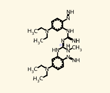 CCN(CC)c1ccc(N=N)c(NC(=N)/N=C(\NC)Nc2cc(N(CC)CC)ccc2N=N)c1